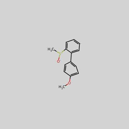 COc1ccc(-c2c[c]ccc2[S+](C)[O-])cc1